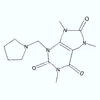 Cn1c(=O)c2c(n(C)c(=O)n2C)n(CN2CCCC2)c1=O